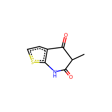 CC1C(=O)Nc2sccc2C1=O